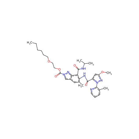 CCCCCCOCCOC(=O)n1cc2cc(C)c(NC(=O)c3cc(OC)nn3-c3ncccc3C)c(C(=O)NC(C)C)c2n1